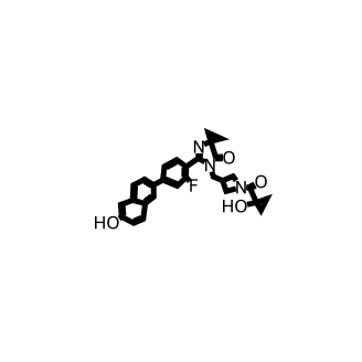 O=C(N1CC(CN2C(=O)C3(CC3)N=C2c2ccc(-c3ccc4cc(O)ccc4c3)cc2F)C1)C1(O)CC1